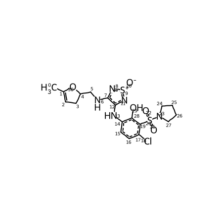 CC1=CCC(CNc2n[s+]([O-])nc2Nc2ccc(Cl)c(S(=O)(=O)N3CCCC3)c2O)O1